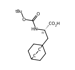 CC(C)(C)OC(=O)N[C@@H](CC12CCC(CC1)CC2)C(=O)O